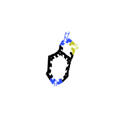 c1cc2[nH]sc2cn1